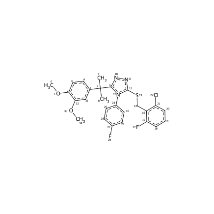 COc1ccc(C(C)(C)c2nnc(SCc3c(F)cccc3Cl)n2-c2ccc(F)cc2)cc1OC